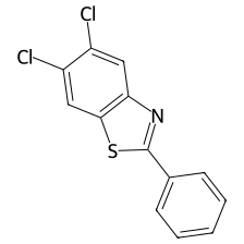 Clc1cc2nc(-c3ccccc3)sc2cc1Cl